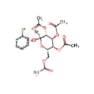 CC(=O)OC[C@H]1O[C@](O)([Se])[C@H](OC(C)=O)[C@@H](OC(C)=O)[C@H]1OC(C)=O.Sc1ccccc1